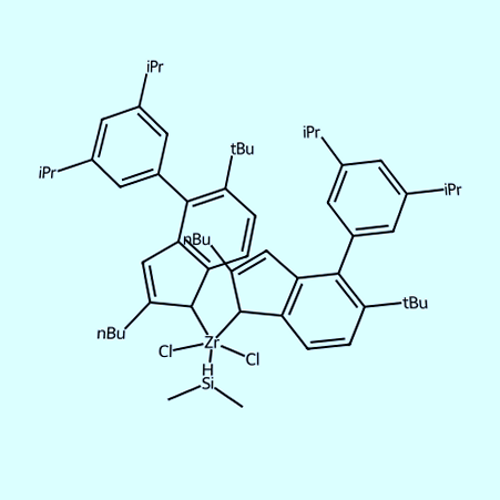 CCCCC1=Cc2c(ccc(C(C)(C)C)c2-c2cc(C(C)C)cc(C(C)C)c2)[CH]1[Zr]([Cl])([Cl])([CH]1C(CCCC)=Cc2c1ccc(C(C)(C)C)c2-c1cc(C(C)C)cc(C(C)C)c1)[SiH](C)C